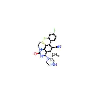 C[C@H]1CNCCN1c1nc(=O)n2c3c(c(-c4ccc(F)cc4F)c(C#N)cc13)SCC2